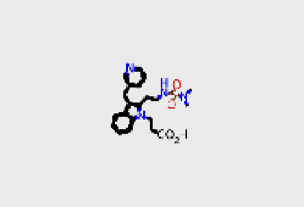 CN(C)S(=O)(=O)NCCc1c(Cc2cccnc2)c2ccccc2n1CCC(=O)O